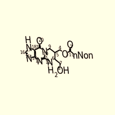 CCCCCCCCCC(=O)OCC(CCO)Cn1c(N)nc2nc[nH]c2c1=O